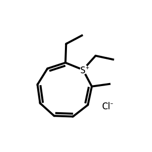 CCc1ccccccc(C)[s+]1CC.[Cl-]